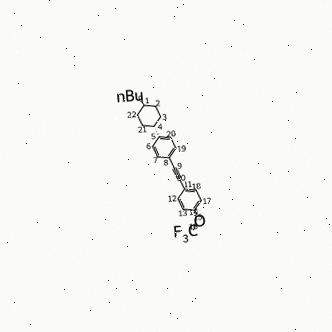 CCCC[C@H]1CC[C@H](c2ccc(C#Cc3ccc(OC(F)(F)F)cc3)cc2)CC1